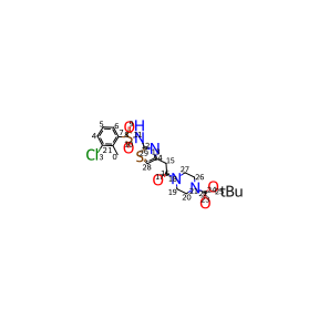 Cc1c(Cl)cccc1S(=O)(=O)Nc1nc(CC(=O)N2CCN(C(=O)OC(C)(C)C)CC2)cs1